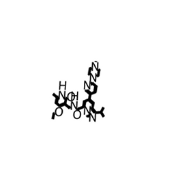 CCOc1cc(C)[nH]c(=O)c1CNC(=O)c1cc(-c2ccc(N3CCN(C)CC3)nc2)cc2c(C(C)C)ncn12